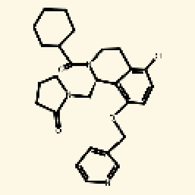 O=C1CCCN1C[C@@H]1c2c(OCc3cccnc3)ccc(Cl)c2CCN1C(=O)C1CCCCC1